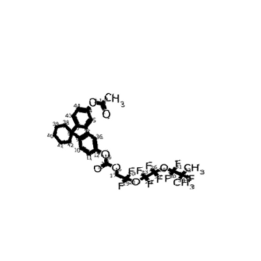 CC(=O)Oc1ccc(C2(c3ccc(OC(=O)OCC(F)(F)OC(F)(F)C(F)(F)OC(F)(F)C(C)(C)F)cc3)CCCCC2)cc1